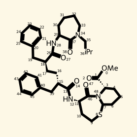 COC(=O)[C@@H]1CCCC2SCC[C@H](NC(=O)[C@@H](CC[C@@H](Cc3ccccc3)C(=O)NC3CCCCN(CC(C)C)C3=O)Cc3ccccc3)C(=O)N21